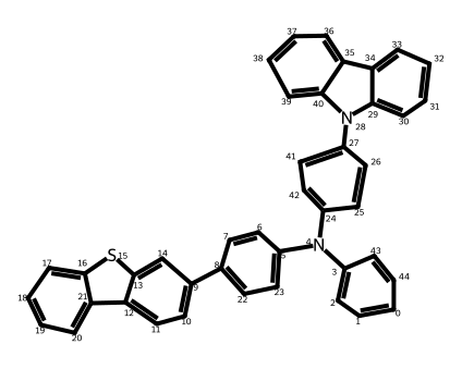 c1ccc(N(c2ccc(-c3ccc4c(c3)sc3ccccc34)cc2)c2ccc(-n3c4ccccc4c4ccccc43)cc2)cc1